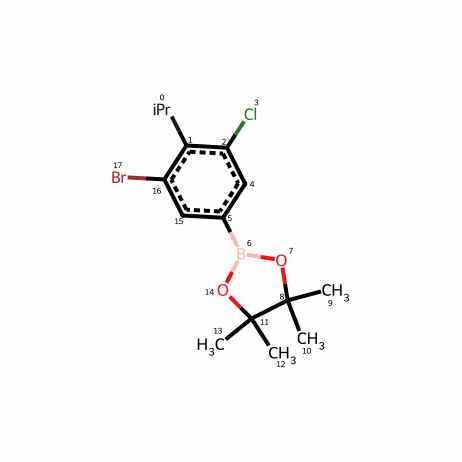 CC(C)c1c(Cl)cc(B2OC(C)(C)C(C)(C)O2)cc1Br